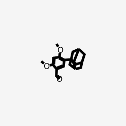 COc1cc(OC)c(C23CC4CC(CC(C4)C2)C3)cc1C=O